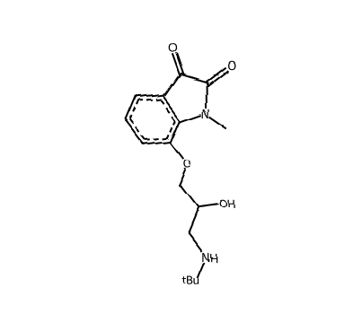 CN1C(=O)C(=O)c2cccc(OCC(O)CNC(C)(C)C)c21